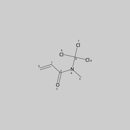 C=CC(=O)N(C)C(Cl)(Cl)Cl